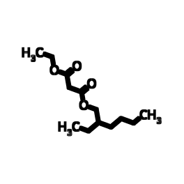 CCCCC(CC)COC(=O)CC(=O)OCC